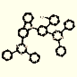 FC(F)(F)c1ccccc1-c1cc(-n2c3ccccc3c3ccc(-c4nc(-c5ccccc5)nc(-c5ccccc5)n4)cc32)ccc1-c1nc(-c2ccccc2)nc(-c2ccccc2)n1